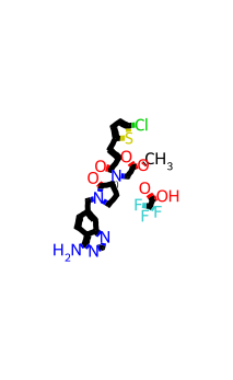 COC(=O)CN(C(=O)C=Cc1ccc(Cl)s1)[C@H]1CCN(Cc2ccc3c(N)ncnc3c2)C1=O.O=C(O)C(F)(F)F